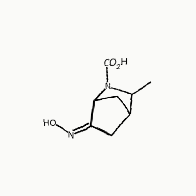 CC1C2CC(=NO)C(C2)N1C(=O)O